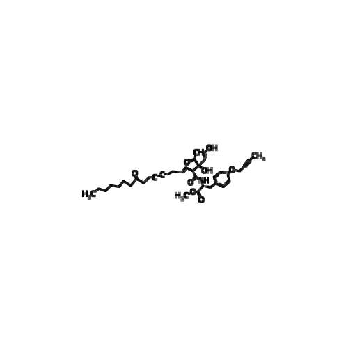 CC#CCOc1ccc(C[C@H](NC(=O)[C@@H](/C=C/CCCCCCC(=O)CCCCCCC)[C@@](O)(CCO)C(C)=O)C(=O)OC)cc1